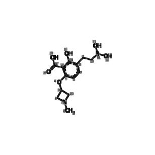 CN1CC(Oc2ccc(CCB(O)O)c(O)c2C(=O)O)C1